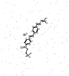 CCN(CC[N+](C)(C)C)c1ccc(N=Nc2ccc(/C=N/N=C(C)C)cc2)cc1.[Br-]